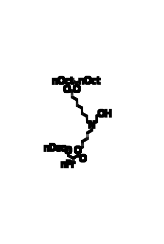 CCCCCCCCCCOCC(CCC)C(=O)OCCCCCN(CCO)CCCCCCCC(=O)OC(CCCCCCCC)CCCCCCCC